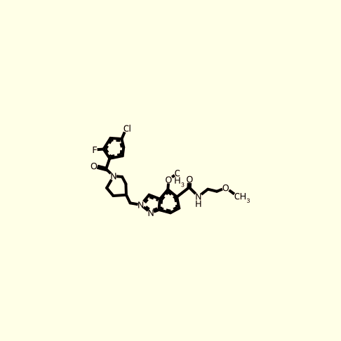 COCCNC(=O)c1ccc2nn(CC3CCN(C(=O)c4ccc(Cl)cc4F)CC3)cc2c1OC